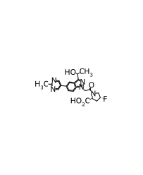 Cc1ncc(-c2ccc3c(c2)c([C@H](C)O)nn3CC(=O)N2C[C@H](F)C[C@H]2C(=O)O)cn1